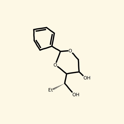 CC[C@@H](O)C1OC(c2ccccc2)OCC1O